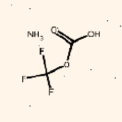 N.O=C(O)OC(F)(F)F